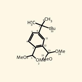 COC(OC)c1ccc(C(C)(C)C(C)(C)C)cc1C(OC)OC